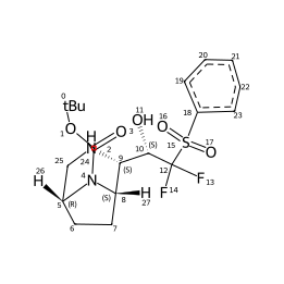 CC(C)(C)OC(=O)N1[C@@H]2CC[C@H]1[C@@H]([C@H](O)C(F)(F)S(=O)(=O)c1ccccc1)NC2